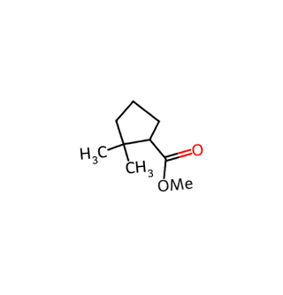 COC(=O)C1CCCC1(C)C